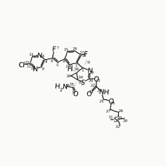 C[C@]1(c2cc(/C=C(\F)c3cnc(Cl)cn3)ccc2F)N=C(OC(=O)NCOCC[Si](C)(C)C)S[C@@]2(C(N)=O)C[C@H]21